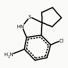 Nc1ccc(Cl)c2c1NSC21CCCC1